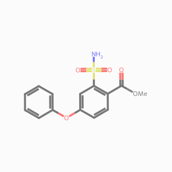 COC(=O)c1ccc(Oc2ccccc2)cc1S(N)(=O)=O